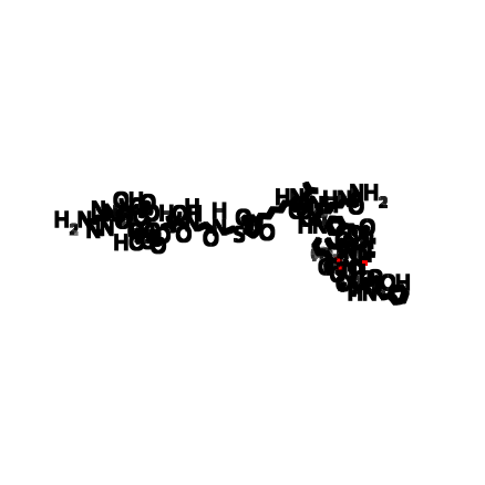 CC[C@@H](C)[C@H](C(C)C(=O)[C@@H](NC(=O)[C@H](C(C)C)N(C)C(=O)OCc1ccc(NC(=O)[C@H](CCCNC(N)=O)NC(=O)[C@@H](NC(=O)CCCCCN2C(=O)CC(SCCNC(=O)CCNC(=O)[C@H](O)C(C)(C)COP(=O)(O)OP(=O)(O)OC[C@@H]3O[C@H](n4cnc5c(N)ncnc54)[C@@H](O)[C@H]3OP(=O)(O)O)C2=O)C(C)C)cc1)C(C)C)[C@H](CC(=O)N1CCC[C@H]1[C@@H](OC)[C@H](C)C(=O)N[C@H](Cc1ccccc1)C(=O)O)OC